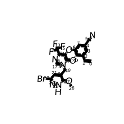 C=Cc1cc(C#N)cc(Oc2c(C(F)(F)F)ncn(CC3=CC(Br)=NNC3OC)c2=O)c1